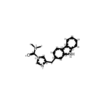 CN(C)C(=O)n1cnc(Cc2ccc3c(c2)[nH]c2ccccc23)c1